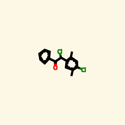 Cc1cc(C(Cl)C(=O)c2ccccc2)c(C)cc1Cl